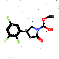 CC(C)(C)OC(O)N1C[C@@H](c2cc(F)cc(F)c2F)CC1=O